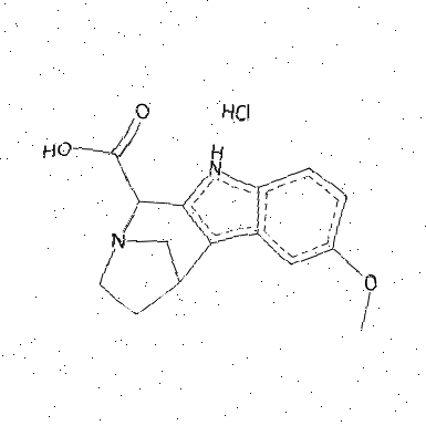 COc1ccc2[nH]c3c(c2c1)C1CCN(C1)C3C(=O)O.Cl